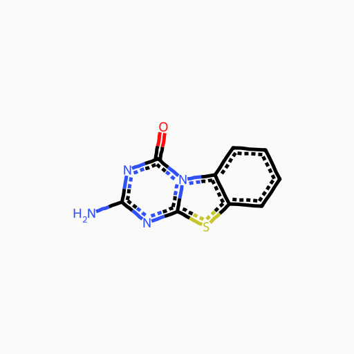 Nc1nc(=O)n2c(n1)sc1ccccc12